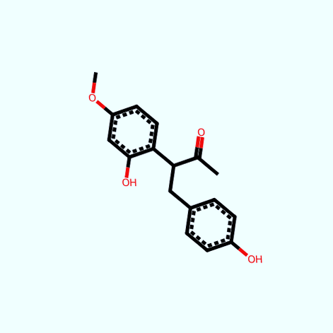 COc1ccc(C(Cc2ccc(O)cc2)C(C)=O)c(O)c1